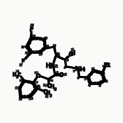 CCc1cccc(CNC[C@H](O)[C@H](Cc2cc(F)cc(F)c2)NC(=O)C(C)Oc2c(C)cccc2C)c1